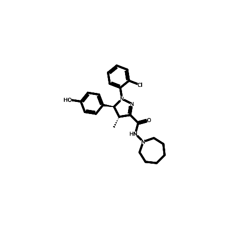 C[C@H]1C(C(=O)NN2CCCCCC2)=NN(c2ccccc2Cl)[C@@H]1c1ccc(O)cc1